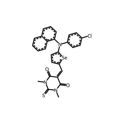 CN1C(=O)C(=Cc2ccc(N(c3ccc(Cl)cc3)c3cccc4ccccc34)[se]2)C(=O)N(C)C1=S